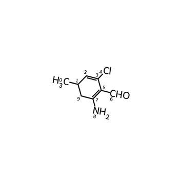 CC1C=C(Cl)C(C=O)=C(N)C1